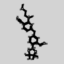 COCCN(C)c1nc(Cc2ccc(B3OC(C)(C)C(C)(C)O3)c(C=O)c2)ccc1C#N